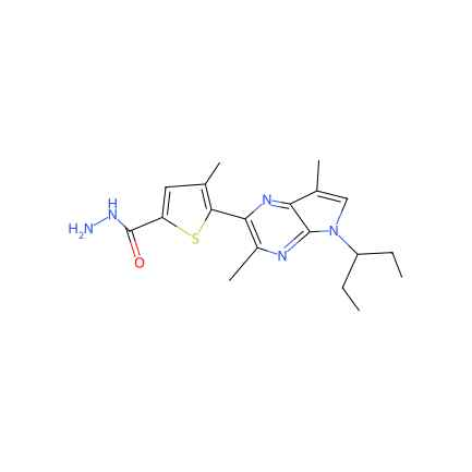 CCC(CC)n1cc(C)c2nc(-c3sc(C(=O)NN)cc3C)c(C)nc21